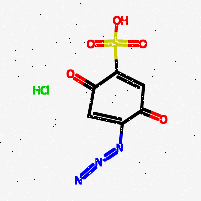 Cl.[N-]=[N+]=NC1=CC(=O)C(S(=O)(=O)O)=CC1=O